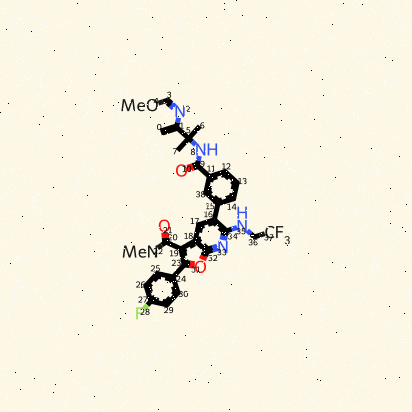 C=C(/N=C\OC)C(C)(C)NC(=O)c1cccc(-c2cc3c(C(=O)NC)c(-c4ccc(F)cc4)oc3nc2NCC(F)(F)F)c1